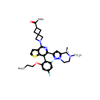 CNC(=O)C1CC2(C1)CN(c1nc(-c3cc4n(n3)CCN(C(=O)O)[C@@H]4C)c(-c3c(F)cc(F)cc3OCCOC)c3sccc13)C2